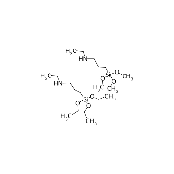 CCNCCC[Si](OC)(OC)OC.CCNCCC[Si](OCC)(OCC)OCC